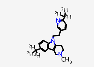 [2H]C([2H])([2H])c1ccc2c(c1)c1c(n2CCc2ccc(C([2H])([2H])[2H])nc2)CCN(C)C1